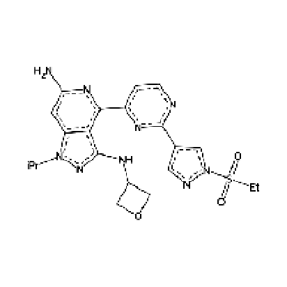 CCS(=O)(=O)n1cc(-c2nccc(-c3nc(N)cc4c3c(NC3COC3)nn4C(C)C)n2)cn1